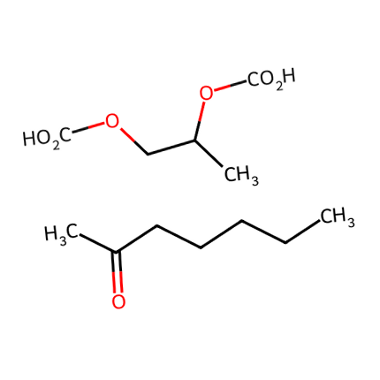 CC(COC(=O)O)OC(=O)O.CCCCCC(C)=O